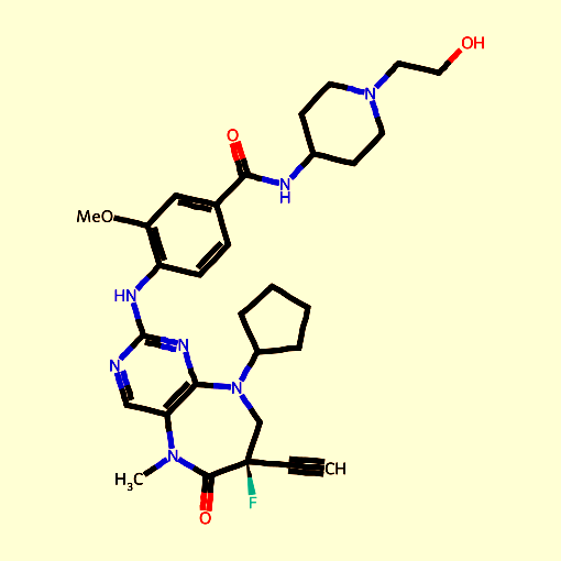 C#C[C@@]1(F)CN(C2CCCC2)c2nc(Nc3ccc(C(=O)NC4CCN(CCO)CC4)cc3OC)ncc2N(C)C1=O